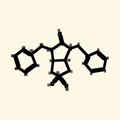 O=C1N(Cc2ccccc2)C2CS(=O)(=O)CC2N1Cc1ccccc1